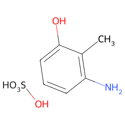 Cc1c(N)cccc1O.O=S(=O)(O)O